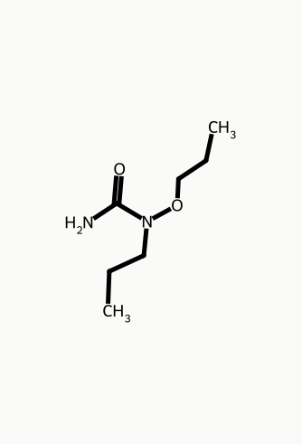 CCCON(CCC)C(N)=O